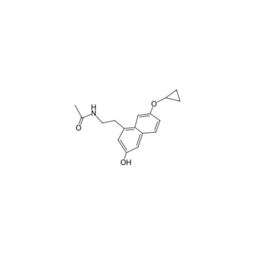 CC(=O)NCCc1cc(O)cc2ccc(OC3CC3)cc12